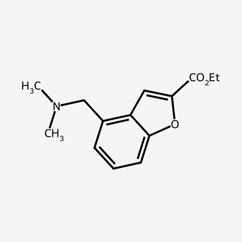 CCOC(=O)c1cc2c(CN(C)C)cccc2o1